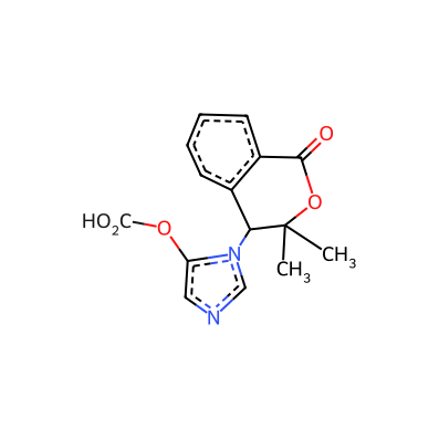 CC1(C)OC(=O)c2ccccc2C1n1cncc1OC(=O)O